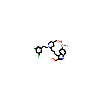 COc1ccc2ncc(CO)c(CCCC3CC(CO)CCN3CCc3cc(F)cc(F)c3)c2c1